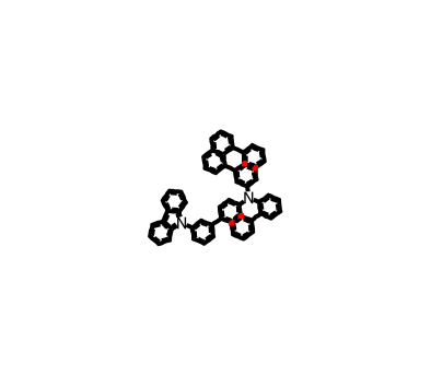 c1ccc(-c2ccccc2N(c2ccc(-c3cccc(-n4c5ccccc5c5ccccc54)c3)cc2)c2cccc(-c3cccc4cccc(-c5ccccc5)c34)c2)cc1